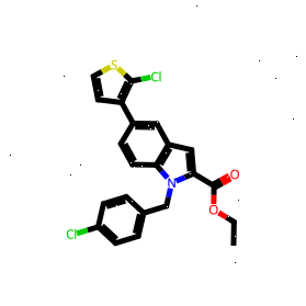 CCOC(=O)c1cc2cc(-c3ccsc3Cl)ccc2n1Cc1ccc(Cl)cc1